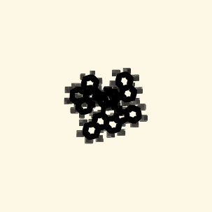 c1ccc(-c2ccccc2-c2nc(-c3cccc4ccccc34)nc(-c3cc4ccccc4c4ccc5c6ccccc6n(-c6cccc(-c7nc8ccccc8s7)c6)c5c34)n2)cc1